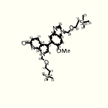 COc1cc2c(cc1-c1cn(COCC[Si](C)(C)C)c3nc(Cl)ccc13)ncn2COCC[Si](C)(C)C